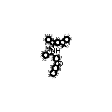 CC1(C)c2ccccc2-c2cc3c4ccccc4n(C4=Nc5ccccc5C(C5=CC6C7=CC8=CC=CCC8C=C7OC6C=C5)N4)c3cc21